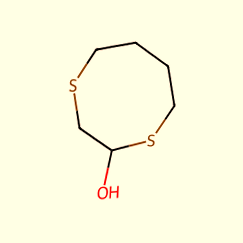 OC1CSCCCCS1